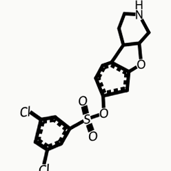 O=S(=O)(Oc1ccc2c(c1)OC1CNCCC21)c1cc(Cl)cc(Cl)c1